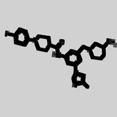 Cc1cn(-c2cc(CN3CCCC(N)C3)cc(NC(=O)C3CCN(c4ccc(F)cc4)CC3)c2)cn1